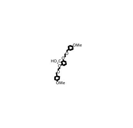 COc1ccc(COCCOc2cccc(OCCOCc3ccc(OC)cc3)c2C(=O)O)cc1